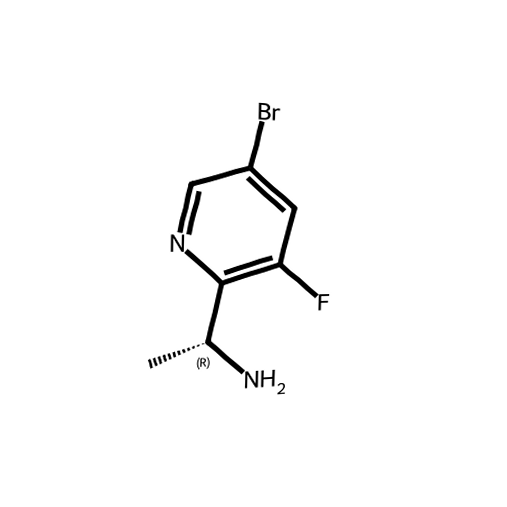 C[C@@H](N)c1ncc(Br)cc1F